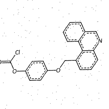 O=C(Cl)Oc1ccc(OCc2cccc3ncc4ccccc4c23)cc1